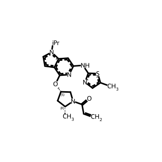 C=CC(=O)N1C[C@@H](Oc2nc(Nc3ncc(C)s3)cc3c2ccn3C(C)C)C[C@H]1C